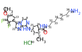 CCc1cc(Nc2nccn3c(-c4ccc(OC)c(F)c4F)cnc23)ccc1C(=O)NCCCCCCCCN.Cl